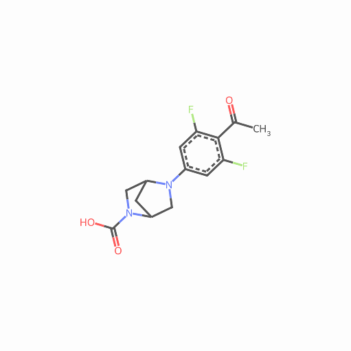 CC(=O)c1c(F)cc(N2CC3CC2CN3C(=O)O)cc1F